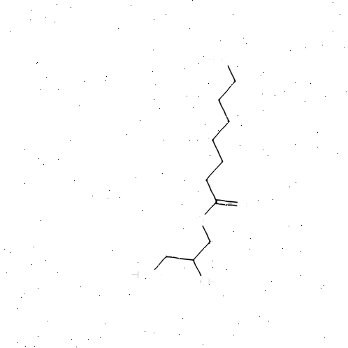 CCCCCCCC(=O)O[CH]C(C)CC